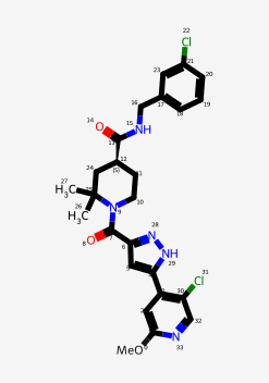 COc1cc(-c2cc(C(=O)N3CC[C@H](C(=O)NCc4cccc(Cl)c4)CC3(C)C)n[nH]2)c(Cl)cn1